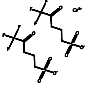 O=C(CCCS(=O)(=O)[O-])C(F)(F)F.O=C(CCCS(=O)(=O)[O-])C(F)(F)F.[Ca+2]